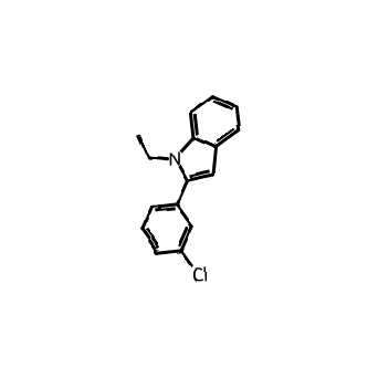 CCn1c(-c2cccc(Cl)c2)cc2ccccc21